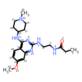 CCC(=O)NCCNc1nc(NC2CCN(C)CC2)c2ccc(OC)cc2n1